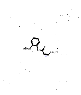 CCCCCCCCCc1ccccc1OC(=O)/C=C\C(=O)O